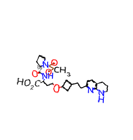 CS(=O)(=O)N1CCC[C@H]1C(=O)NC(CCOC1CC(CCc2ccc3c(n2)NCCC3)C1)C(=O)O